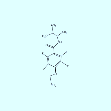 CCOc1c(F)c(F)c(C(=O)NC(C)C(C)C)c(F)c1F